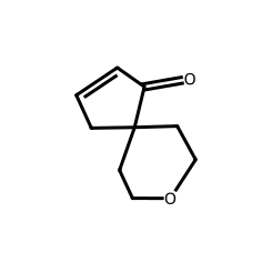 O=C1C=CCC12CCOCC2